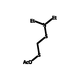 CCN(CC)SCSOC(C)=O